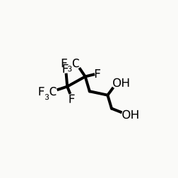 OCC(O)CC(F)(C(F)(F)F)C(F)(F)C(F)(F)F